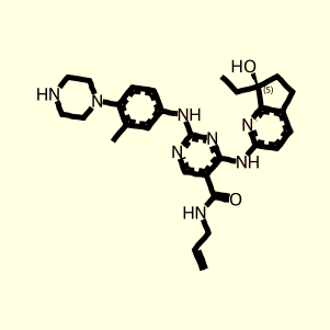 C=CCNC(=O)c1cnc(Nc2ccc(N3CCNCC3)c(C)c2)nc1Nc1ccc2c(n1)[C@](O)(CC)CC2